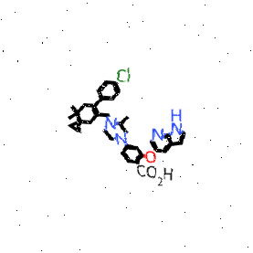 CC1CN(c2ccc(C(=O)O)c(Oc3cnc4[nH]ccc4c3)c2)CCN1CC1=C(c2ccc(Cl)cc2)CC(C)(C)C2(CC2)C1